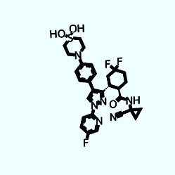 N#CC1(NC(=O)[C@@H]2CCC(F)(F)C[C@H]2c2nn(-c3ccc(F)cn3)cc2-c2ccc(N3CCS(O)(O)CC3)cc2)CC1